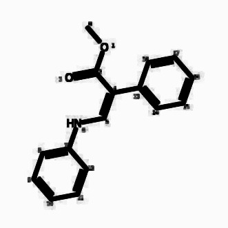 COC(=O)/C(=C\Nc1ccccc1)c1ccccc1